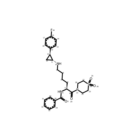 O=C(N[C@@H](CCCCN[C@@H]1C[C@H]1c1ccc(F)cc1)C(=O)N1CCS(=O)(=O)CC1)c1ccccc1